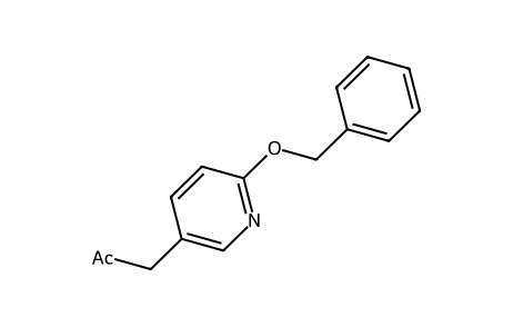 CC(=O)Cc1ccc(OCc2ccccc2)nc1